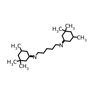 CC1CC(=NCCCCCN=C2CC(C)CC(C)(C)C2)CC(C)(C)C1